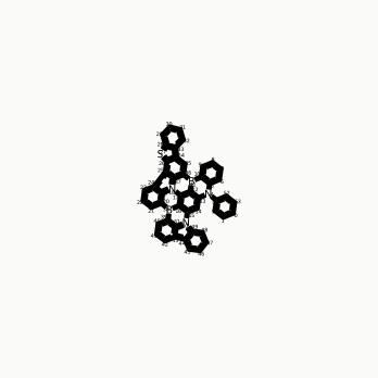 c1ccc(N2c3ccccc3B3c4c2cc2c5c4-n4c6c(cccc6c6c7sc8ccccc8c7cc3c64)B5c3cccc4c5ccccc5n-2c34)cc1